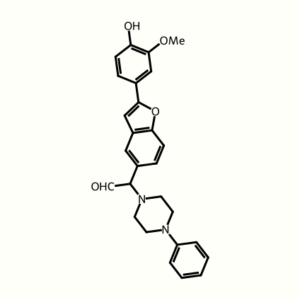 COc1cc(-c2cc3cc(C(C=O)N4CCN(c5ccccc5)CC4)ccc3o2)ccc1O